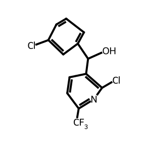 OC(c1cccc(Cl)c1)c1ccc(C(F)(F)F)nc1Cl